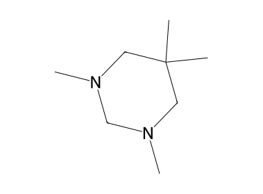 CN1CN(C)CC(C)(C)C1